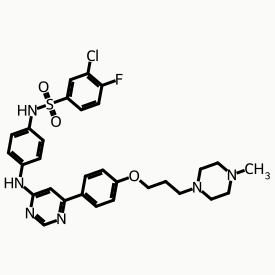 CN1CCN(CCCOc2ccc(-c3cc(Nc4ccc(NS(=O)(=O)c5ccc(F)c(Cl)c5)cc4)ncn3)cc2)CC1